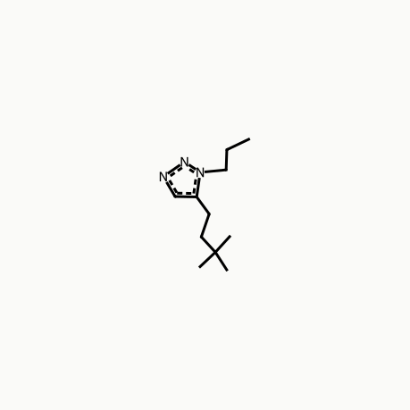 CCCn1nncc1CCC(C)(C)C